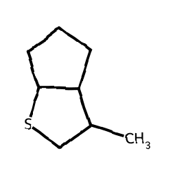 CC1CSC2CCCC12